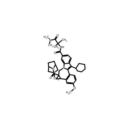 COc1ccc2c(c1)C1CC1(C(=O)N1C3CCC1CN(C)C3)Cn1c-2c(C2CCCCC2)c2ccc(C(=O)NC(C)(C)C(=O)N(C)C)cc21